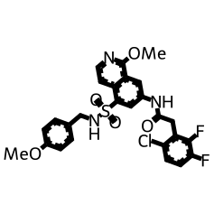 COc1ccc(CNS(=O)(=O)c2cc(NC(=O)Cc3c(Cl)ccc(F)c3F)cc3c(OC)nccc23)cc1